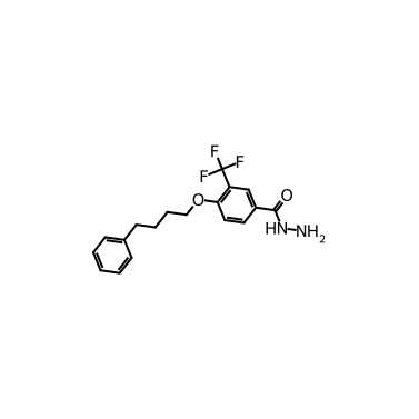 NNC(=O)c1ccc(OCCCCc2ccccc2)c(C(F)(F)F)c1